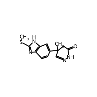 CSc1nc2ccc(C3(C)C=NNC(=O)C3)cc2[nH]1